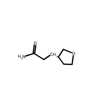 C1CCOC1.CCC(N)=O